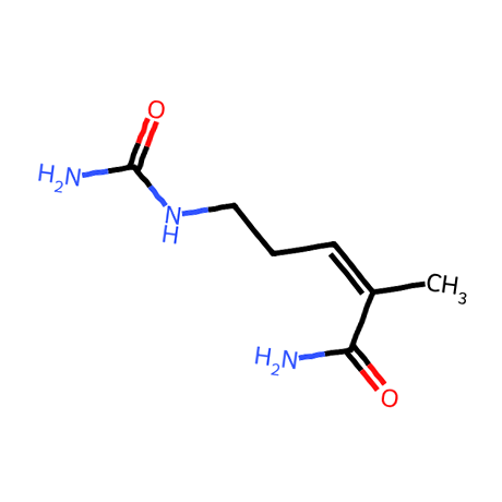 CC(=CCCNC(N)=O)C(N)=O